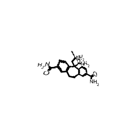 C[C@@H](N)CC1(C(N)=O)c2ccc(C(N)=O)cc2CCc2cc(C(N)=O)ccc21